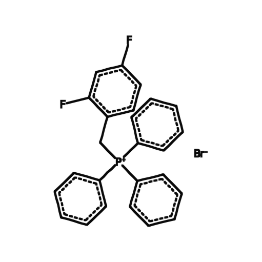 Fc1ccc(C[P+](c2ccccc2)(c2ccccc2)c2ccccc2)c(F)c1.[Br-]